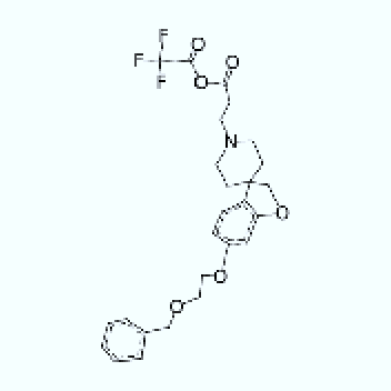 O=C(CCN1CCC2(CC1)COc1cc(OCCOCc3ccccc3)ccc12)OC(=O)C(F)(F)F